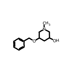 CN1CC(O)CC(OCc2ccccc2)C1